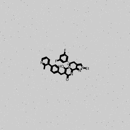 CCn1cc2c(n1)-c1nc(=O)c(Cc3ccc(-c4cccnc4C)cc3)c(O)n1[C@H](c1cc(F)cc(F)c1)C2